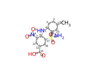 Cc1ccc(Nc2c([N+](=O)[O-])cc(C(=O)O)cc2S(N)(=O)=O)cc1